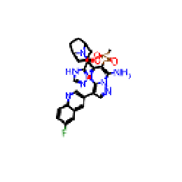 CS(=O)(=O)c1c(C2CC3CCC(C2)N3C(=O)c2nnc[nH]2)nc2c(-c3cnc4ccc(F)cc4c3)cnn2c1N